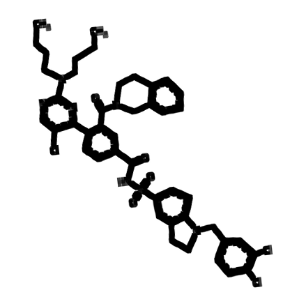 CCCCN(CCCC)c1ncc(Cl)c(-c2ccc(C(=O)NS(=O)(=O)c3ccc4c(c3)CCN4Cc3ccc(Cl)c(Cl)c3)cc2C(=O)N2CCc3ccccc3C2)n1